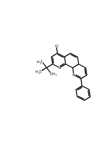 CC(C)(C)c1cc(Cl)c2c(n1)C1N=C(c3ccccc3)C=CC1C=C2